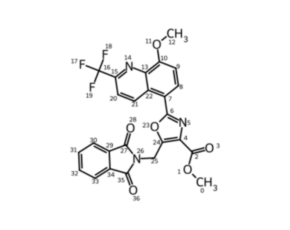 COC(=O)c1nc(-c2ccc(OC)c3nc(C(F)(F)F)ccc23)oc1CN1C(=O)c2ccccc2C1=O